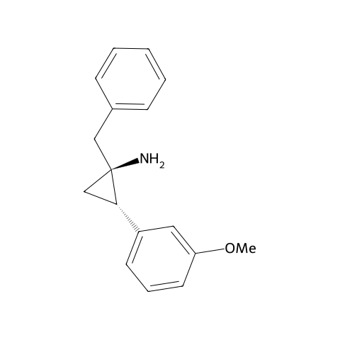 COc1cccc([C@@H]2C[C@]2(N)Cc2ccccc2)c1